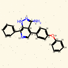 Nc1n[nH]c2c(-c3ccccc3)ncc(-c3ccc(Oc4ccccc4)cc3)c12